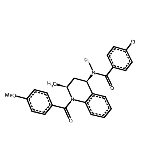 CCN(C(=O)c1ccc(Cl)cc1)[C@@H]1C[C@H](C)N(C(=O)c2ccc(OC)cc2)c2ccccc21